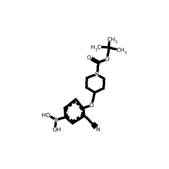 CC(C)(C)OC(=O)N1CCC(Oc2ccc(B(O)O)cc2C#N)CC1